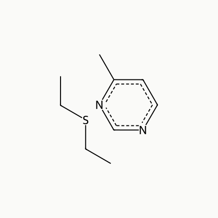 CCSCC.Cc1ccncn1